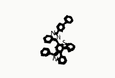 c1ccc(-c2ccc(-c3nc(-c4cc5c(-c6ccccc6)nc6ccccc6c5c5c4sc4ccccc45)c4ccccc4n3)cc2)cc1